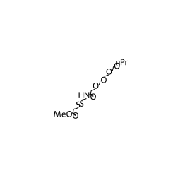 CCCOCCOCCOCCOCCC(=O)NCCSSCCC(=O)OC